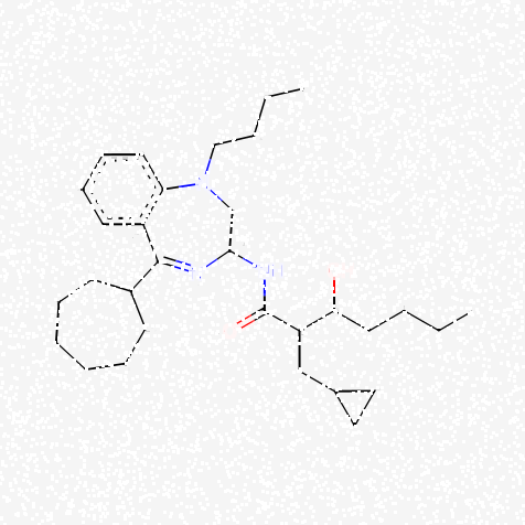 CCCCC(O)C(CC1CC1)C(=O)NC1CN(CCCC)c2ccccc2C(C2CCCCCC2)=N1